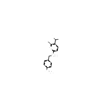 COc1ccc(CNc2ccc(C(F)F)c(Cl)n2)cc1